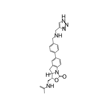 C=C(C)NC[C@@H]1OC(=O)N2c3ccc(-c4ccc(CNCc5c[nH]nn5)cc4)cc3C[C@@H]12